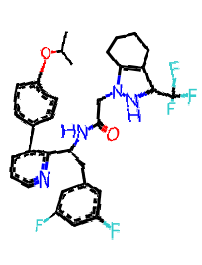 CC(C)Oc1ccc(-c2cccnc2[C@H](Cc2cc(F)cc(F)c2)NC(=O)CN2NC(C(F)(F)F)C3=C2CCCC3)cc1